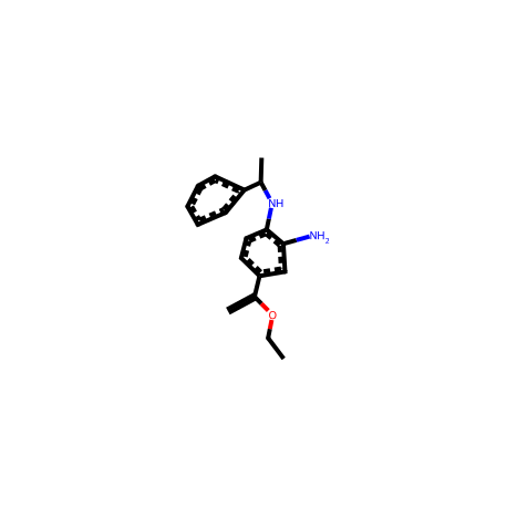 C=C(OCC)c1ccc(NC(C)c2ccccc2)c(N)c1